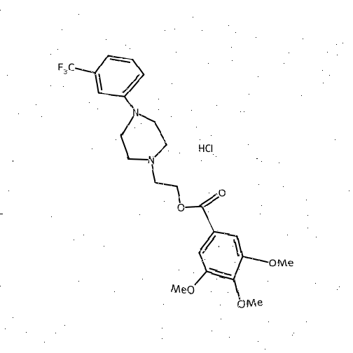 COc1cc(C(=O)OCCN2CCN(c3cccc(C(F)(F)F)c3)CC2)cc(OC)c1OC.Cl